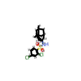 CC12CC3CC(C)(C1)CC(NS(=O)(=O)c1ccc(Cl)cc1Cl)(C3)C2